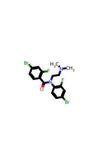 CN(C)CCN(C(=O)c1ccc(Br)cc1F)c1ccc(Br)cc1F